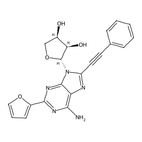 Nc1nc(-c2ccco2)nc2c1nc(C#Cc1ccccc1)n2[C@@H]1OC[C@@H](O)[C@H]1O